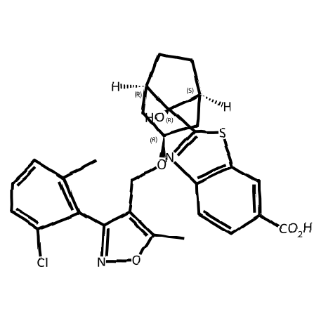 Cc1cccc(Cl)c1-c1noc(C)c1CO[C@H]1C[C@H]2CC[C@@H](C1)[C@]2(O)c1nc2ccc(C(=O)O)cc2s1